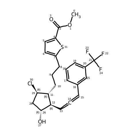 COC(=O)c1ccc(CCC[C@@H]2[C@@H](C=C=Cc3cccc(C(F)(F)F)c3)[C@H](O)C[C@H]2Cl)s1